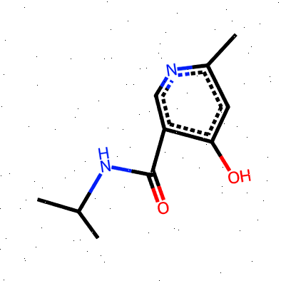 Cc1cc(O)c(C(=O)NC(C)C)cn1